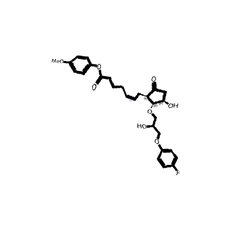 COc1ccc(OC(=O)CCC/C=C\C[C@H]2C(=O)C[C@@H](O)[C@@H]2OCC(O)COc2ccc(F)cc2)cc1